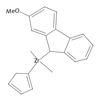 COc1ccc2c(c1)[CH]([Zr]([CH3])([CH3])[C]1=CC=CC1)c1ccccc1-2